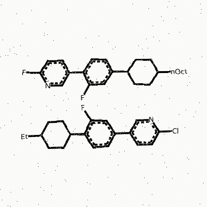 CCC1CCC(c2ccc(-c3ccc(Cl)nc3)cc2F)CC1.CCCCCCCCC1CCC(c2ccc(-c3ccc(F)nc3)c(F)c2)CC1